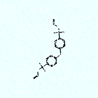 C=COC(C)(C)c1ccc(Cc2ccc(C(C)(C)OC=C)cc2)cc1